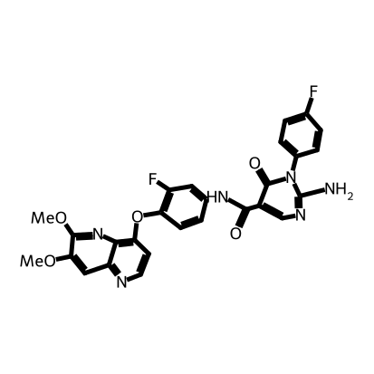 COc1cc2nccc(Oc3ccc(NC(=O)c4cnc(N)n(-c5ccc(F)cc5)c4=O)cc3F)c2nc1OC